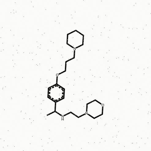 CC(NCCN1CCOCC1)c1ccc(OCCCN2CCCCC2)cc1